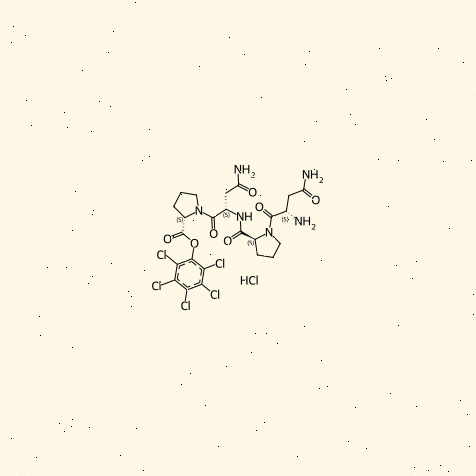 Cl.NC(=O)C[C@H](NC(=O)[C@@H]1CCCN1C(=O)[C@@H](N)CC(N)=O)C(=O)N1CCC[C@H]1C(=O)Oc1c(Cl)c(Cl)c(Cl)c(Cl)c1Cl